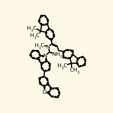 CN(/C(=C\Cc1ccc2c(c1)C(C)(C)c1ccccc1-2)c1ccc2c(c1)C(C)(C)c1ccccc1-2)C(N)n1c2ccccc2c2cc(-c3ccc4oc5ccccc5c4c3)ccc21